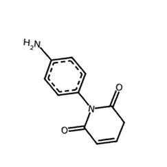 Nc1ccc(N2C(=O)C=CCC2=O)cc1